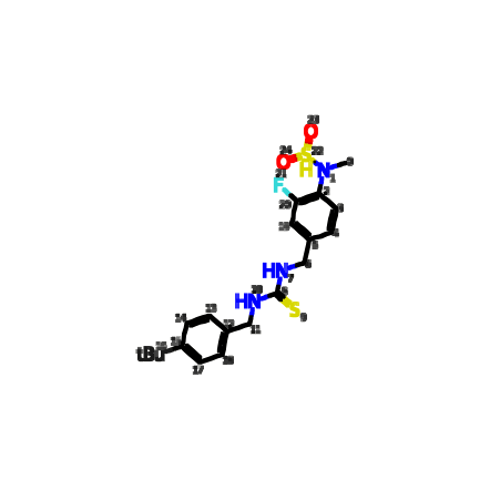 CN(c1ccc(CNC(=S)NCc2ccc(C(C)(C)C)cc2)cc1F)[SH](=O)=O